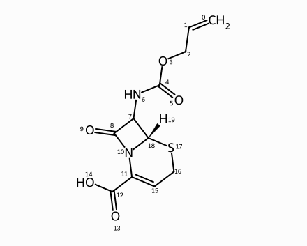 C=CCOC(=O)NC1C(=O)N2C(C(=O)O)=CCS[C@@H]12